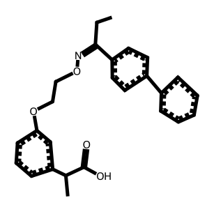 CCC(=NOCCOc1cccc(C(C)C(=O)O)c1)c1ccc(-c2ccccc2)cc1